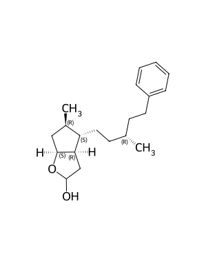 C[C@@H](CCc1ccccc1)CC[C@@H]1[C@H]2CC(O)O[C@H]2C[C@H]1C